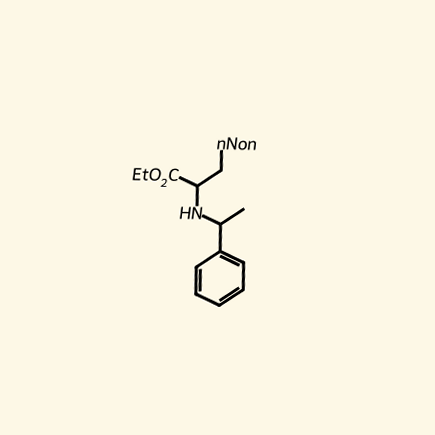 CCCCCCCCCCC(NC(C)c1ccccc1)C(=O)OCC